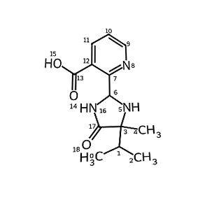 CC(C)C1(C)NC(c2ncccc2C(=O)O)NC1=O